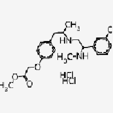 CNC(CNC(C)Cc1ccc(OCC(=O)OC)cc1)c1cccc(Cl)c1.Cl.Cl